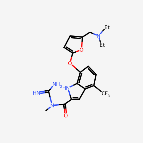 CCN(CC)Cc1ccc(Oc2ccc(C(F)(F)F)c3cc(C(=O)N(C)C(=N)N)[nH]c23)o1